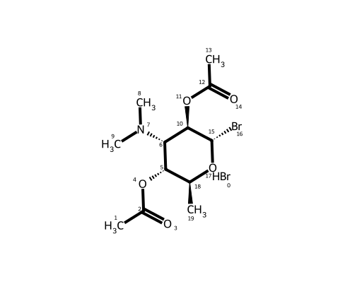 Br.CC(=O)O[C@@H]1[C@H](N(C)C)[C@@H](OC(C)=O)[C@H](Br)O[C@H]1C